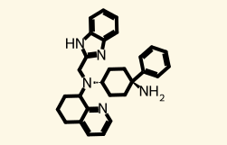 N[C@]1(c2ccccc2)CC[C@@H](N(Cc2nc3ccccc3[nH]2)C2CCCc3cccnc32)CC1